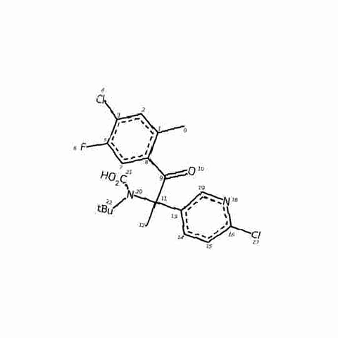 Cc1cc(Cl)c(F)cc1C(=O)C(C)(c1ccc(Cl)nc1)N(C(=O)O)C(C)(C)C